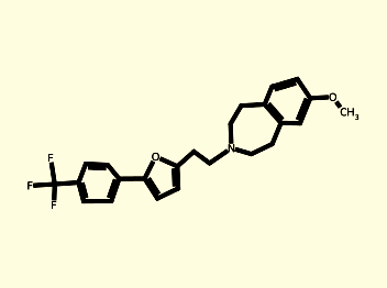 COc1ccc2c(c1)CCN(CCc1ccc(-c3ccc(C(F)(F)F)cc3)o1)CC2